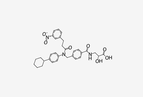 O=C(NCC(O)C(=O)O)c1ccc(CN(C(=O)CCc2cccc([N+](=O)[O-])c2)c2ccc(C3CCCCC3)cc2)cc1